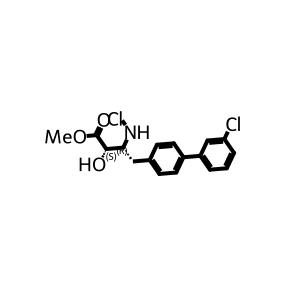 COC(=O)[C@@H](O)[C@@H](Cc1ccc(-c2cccc(Cl)c2)cc1)NCl